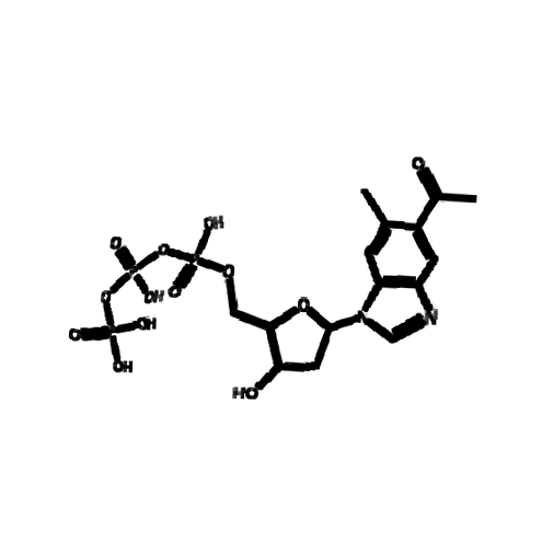 CC(=O)c1cc2ncn(C3CC(O)C(COP(=O)(O)OP(=O)(O)OP(=O)(O)O)O3)c2cc1C